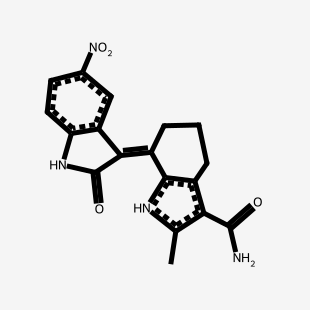 Cc1[nH]c2c(c1C(N)=O)CCC/C2=C1/C(=O)Nc2ccc([N+](=O)[O-])cc21